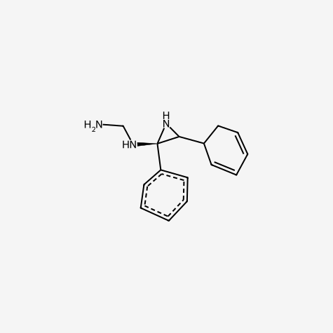 NCN[C@@]1(c2ccccc2)NC1C1C=CC=CC1